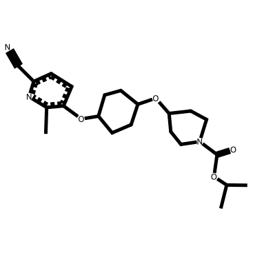 Cc1nc(C#N)ccc1OC1CCC(OC2CCN(C(=O)OC(C)C)CC2)CC1